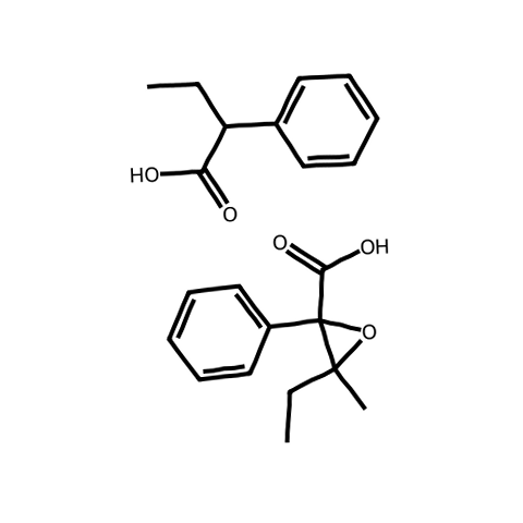 CCC(C(=O)O)c1ccccc1.CCC1(C)OC1(C(=O)O)c1ccccc1